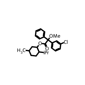 COC(C(=O)OC1CC(C)CCC1C(C)C)(c1ccccc1)c1cccc(Cl)c1